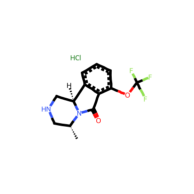 C[C@@H]1CNC[C@H]2c3cccc(OC(F)(F)F)c3C(=O)N12.Cl